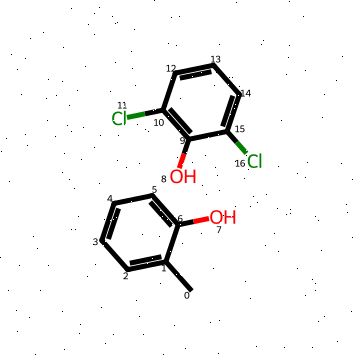 Cc1ccccc1O.Oc1c(Cl)cccc1Cl